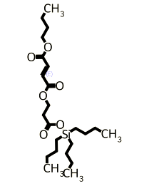 CCCCOC(=O)/C=C/C(=O)OCCC(=O)O[Si](CCCC)(CCCC)CCCC